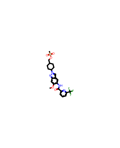 COc1cc2nn(C3CCC(COS(C)(=O)=O)CC3)cc2cc1NC(=O)c1cccc(C(F)(F)F)n1